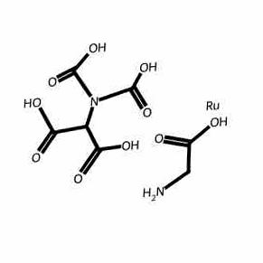 NCC(=O)O.O=C(O)C(C(=O)O)N(C(=O)O)C(=O)O.[Ru]